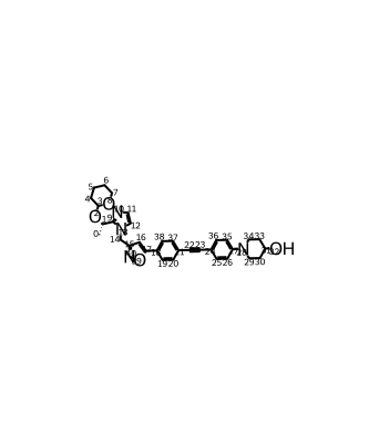 C[C@H](OC1CCCCO1)c1nccn1Cc1cc(-c2ccc(C#Cc3ccc(N4CCC(O)CC4)cc3)cc2)on1